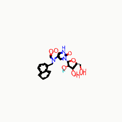 O=CN(Cc1cccc2ccccc12)c1cn([C@@H]2O[C@H](CO)[C@H](O)[C@H]2OF)c(=O)[nH]c1=O